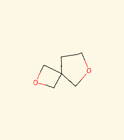 C1CC2(CO1)COC2